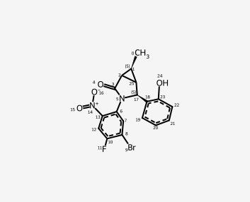 C[C@@H]1C2C(=O)N(c3cc(Br)c(F)cc3[N+](=O)[O-])[C@H](c3ccccc3O)C21